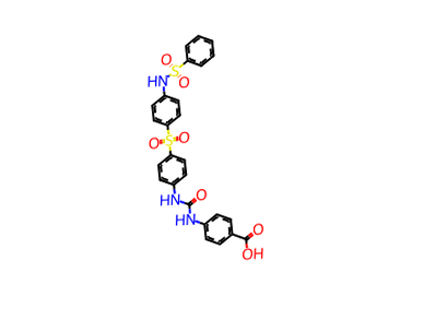 O=C(Nc1ccc(C(=O)O)cc1)Nc1ccc(S(=O)(=O)c2ccc(NS(=O)(=O)c3ccccc3)cc2)cc1